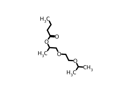 CCCC(=O)OC(C)COCCOC(C)C